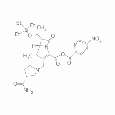 CC[Si](CC)(CC)O[C@H](C)C1C(=O)N2C(C(=O)OC(=O)c3ccc([N+](=O)[O-])cc3)=C(CN3CC[C@@H](C(N)=O)C3)[C@H](C)[C@H]12